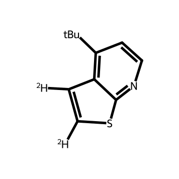 [2H]c1sc2nccc(C(C)(C)C)c2c1[2H]